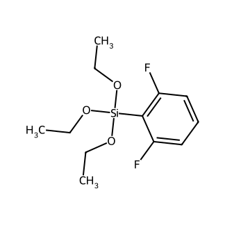 CCO[Si](OCC)(OCC)c1c(F)cccc1F